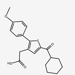 COc1ccc(-c2sc(C(=O)C3CCCCC3)cc2CC(=O)O)cc1